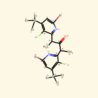 CC[Si](CC)(CC)c1cc(Br)nc(C(C)C(=O)C(C)c2nc(Br)cc([Si](CC)(CC)CC)c2F)c1F